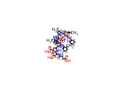 CC#CC[C@H](NC(=O)[C@H](CC(C)C)NC(=O)[C@@H](NC(=O)[C@H](Cc1ccccc1C)NC(=O)[C@H](CCC(=O)O)NC(=O)[C@H](CC(=O)O)NC(=O)CCC(=O)O)C(C)(C)C)C(OC=O)C(=O)NCc1ccccc1